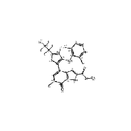 CCNC(=O)c1cc2c(-c3sc(C(C)(C)C(C)(C)O)c(F)c3Nc3c(C)ccnc3C)cn(C)c(=O)c2[nH]1